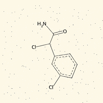 NC(=O)C(Cl)c1cccc(Cl)c1